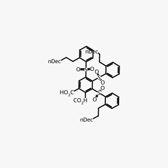 CCCCCCCCCCCCc1ccccc1S(=O)(=O)c1cc(C(=O)O)c(C(=O)O)c(S(=O)(=O)c2ccccc2CCCCCCCCCCCC)c1S(=O)(=O)c1ccccc1CCCCCCCCCCCC